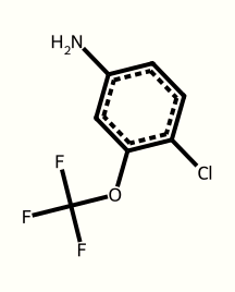 Nc1ccc(Cl)c(OC(F)(F)F)c1